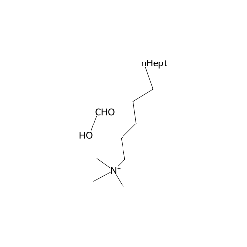 CCCCCCCCCCCC[N+](C)(C)C.O=CO